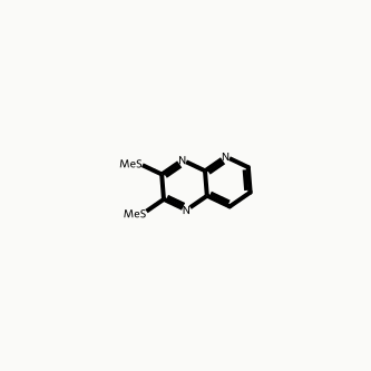 CSc1nc2cccnc2nc1SC